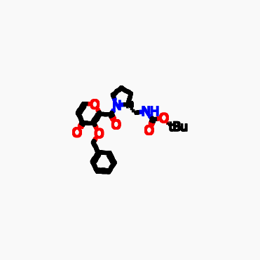 CC(C)(C)OC(=O)NC[C@H]1CCCN1C(=O)c1occc(=O)c1OCc1ccccc1